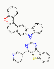 c1cncc(-c2nc(-n3c4ccccc4c4cc5c(ccc6oc7ccccc7c65)cc43)nc3c2sc2ccccc23)c1